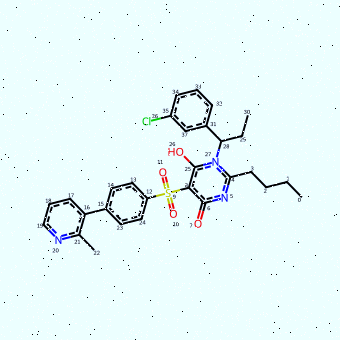 CCCCc1nc(=O)c(S(=O)(=O)c2ccc(-c3cccnc3C)cc2)c(O)n1C(CC)c1cccc(Cl)c1